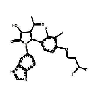 CC(=O)C1C(O)C(=O)N(c2ccc3nc[nH]c3c2)C1c1ccc(OCCC(F)F)c(F)c1F